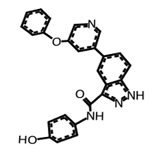 O=C(Nc1ccc(O)cc1)c1n[nH]c2ccc(-c3cncc(Oc4ccccc4)c3)cc12